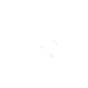 C/C=C\C=C(\c1ncnc(-c2ccccc2)n1)C(C)C